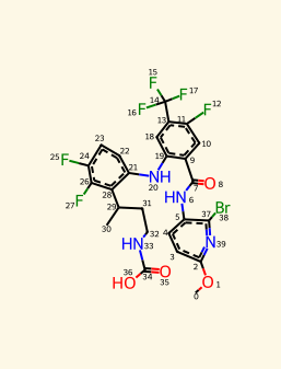 COc1ccc(NC(=O)c2cc(F)c(C(F)(F)F)cc2Nc2ccc(F)c(F)c2C(C)CCNC(=O)O)c(Br)n1